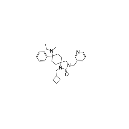 CCN(C)C1(c2ccccc2)CCC2(CC1)CN(Cc1cccnc1)C(=O)N2CC1CCC1